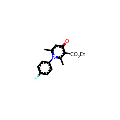 CCOC(=O)c1c(C)n(-c2ccc(F)cc2)c(C)cc1=O